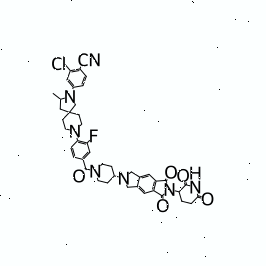 CC1CC2(CCN(c3ccc(C(=O)N4CCC(N5Cc6cc7c(cc6C5)C(=O)N(C5CCC(=O)NC5=O)C7=O)CC4)cc3F)CC2)CN1c1ccc(C#N)c(Cl)c1